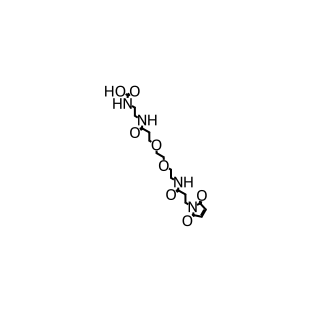 O=C(O)NCCNC(=O)CCOCCOCCNC(=O)CCN1C(=O)C=CC1=O